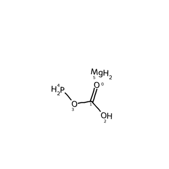 O=C(O)OP.[MgH2]